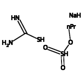 CCCO[SH](=O)=O.N=C(N)S.[NaH]